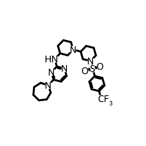 O=S(=O)(c1ccc(C(F)(F)F)cc1)N1CCCC(N2CCCC(Nc3nccc(N4CCCCCC4)n3)C2)C1